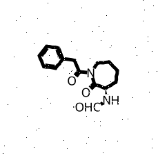 O=[C]N[C@H]1CCCCN(C(=O)Cc2ccccc2)C1=O